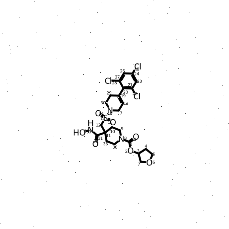 O=C(OC1CCOC1)N1CCC(CS(=O)(=O)N2CC=C(c3c(Cl)cc(Cl)cc3Cl)CC2)(C(=O)NO)CC1